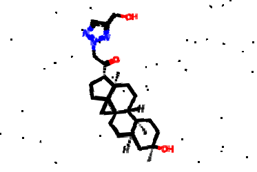 C[C@@]1(O)CC[C@@]2(C)[C@H](CC[C@@]34CC35CC[C@H](C(=O)Cn3ncc(CO)n3)[C@@]5(C)CC[C@H]24)C1